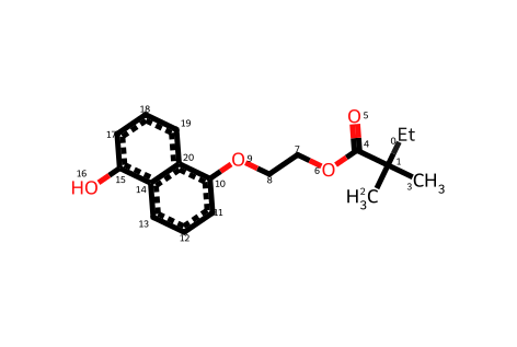 CCC(C)(C)C(=O)OCCOc1cccc2c(O)cccc12